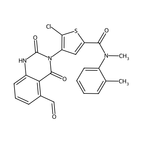 Cc1ccccc1N(C)C(=O)c1cc(-n2c(=O)[nH]c3cccc(C=O)c3c2=O)c(Cl)s1